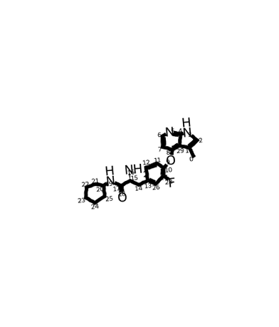 Cc1c[nH]c2nccc(Oc3ccc(C[C@@H](N)C(=O)NC4CCCCC4)cc3F)c12